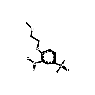 COCCOc1ccc(P(C)(C)=O)cc1[N+](=O)[O-]